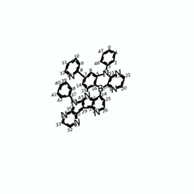 c1ccc(N2c3cc(-c4ccccn4)cc4c3B(c3nccnc32)c2ccnc3c5c6nccnc6n(-c6ccccc6)c5n-4c23)cc1